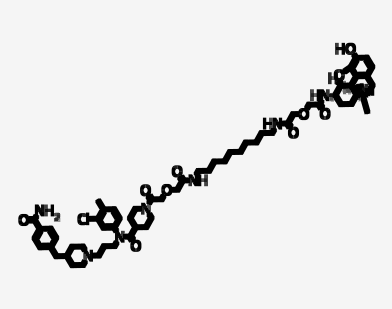 Cc1ccc(N(CCCN2CCC(Cc3ccc(C(N)=O)cc3)CC2)C(=O)C2CCN(C(=O)COCC(=O)NCCCCCCCCCCNC(=O)COCC(=O)N[C@H]3CC[C@@]4(O)C5Cc6ccc(O)c7c6[C@@]4(CCN5C)[C@H]3O7)CC2)cc1Cl